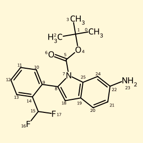 CC(C)(C)OC(=O)n1c(-c2ccccc2C(F)F)cc2ccc(N)cc21